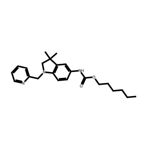 CCCCCCOC(=O)Nc1ccc2c(c1)C(C)(C)CN2Cc1ccccn1